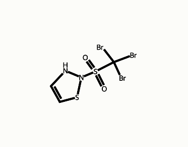 O=S(=O)(N1NC=CS1)C(Br)(Br)Br